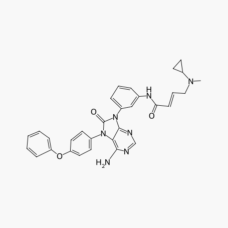 CN(C/C=C/C(=O)Nc1cccc(-n2c(=O)n(-c3ccc(Oc4ccccc4)cc3)c3c(N)ncnc32)c1)C1CC1